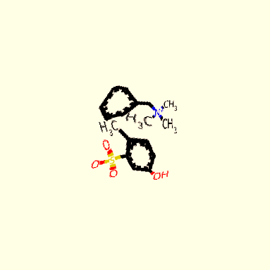 C[N+](C)(C)Cc1ccccc1.Cc1ccc(O)cc1S(=O)(=O)[O-]